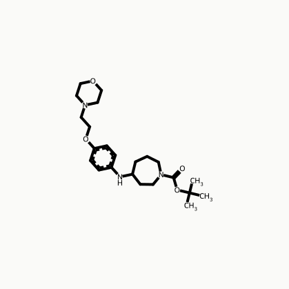 CC(C)(C)OC(=O)N1CCCC(Nc2ccc(OCCN3CCOCC3)cc2)CC1